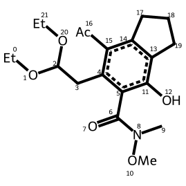 CCOC(Cc1c(C(=O)N(C)OC)c(O)c2c(c1C(C)=O)CCC2)OCC